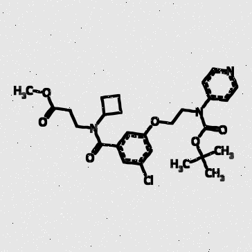 COC(=O)CCN(C(=O)c1cc(Cl)cc(OCCN(C(=O)OC(C)(C)C)c2ccncc2)c1)C1CCC1